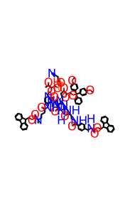 COc1ccc(C(OC[C@H]2O[C@@H](n3cnc4c(=O)[nH]c(NC(=O)CCNC(=O)c5ccc(CNC(=O)OCC6c7ccccc7-c7ccccc76)cc5)nc43)CC2OP(OCCC#N)OC[C@@H](OCn2ccc(NC(=O)CCCN(C)C(=O)OCC3c4ccccc4-c4ccccc43)nc2=O)C(C)O)(c2ccccc2)c2ccc(OC)cc2)cc1